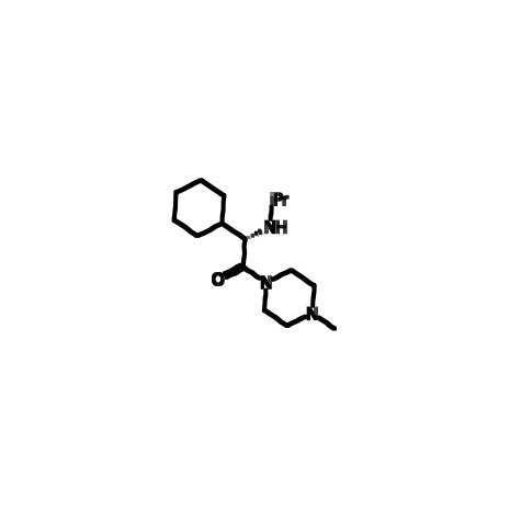 CC(C)N[C@H](C(=O)N1CCN(C)CC1)C1CCCCC1